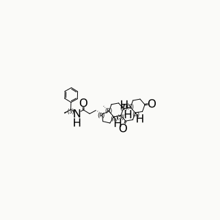 C[C@H](NC(=O)CC[C@H]1CC[C@H]2[C@@H]3C(=O)C[C@@H]4CC(=O)CC[C@]4(C)[C@H]3CC[C@]12C)c1ccccc1